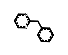 [c]1ccnc(Cc2ccccc2)n1